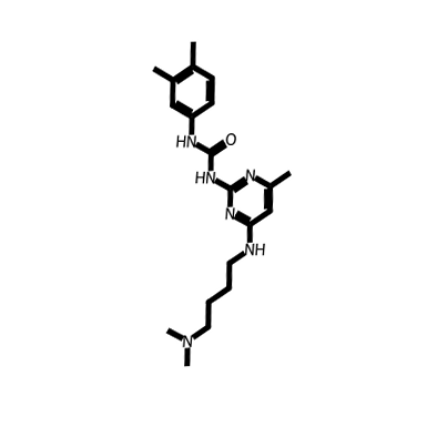 Cc1cc(NCCCCN(C)C)nc(NC(=O)Nc2ccc(C)c(C)c2)n1